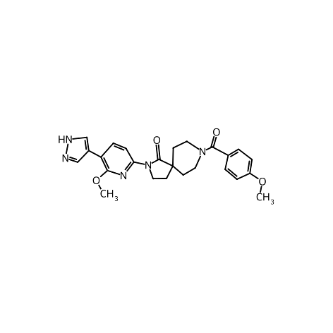 COc1ccc(C(=O)N2CCC3(CC2)CCN(c2ccc(-c4cn[nH]c4)c(OC)n2)C3=O)cc1